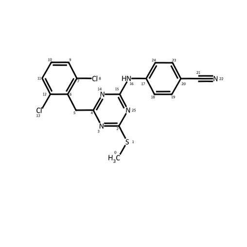 CSc1nc(Cc2c(Cl)cccc2Cl)nc(Nc2ccc(C#N)cc2)n1